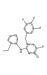 CCc1ccccc1Nc1nc(=O)c(F)cn1Cc1cc(F)c(F)c(F)c1